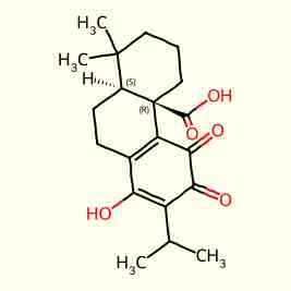 CC(C)C1=C(O)C2=C(C(=O)C1=O)[C@@]1(C(=O)O)CCCC(C)(C)[C@@H]1CC2